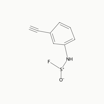 C#Cc1cccc(N[S+]([O-])F)c1